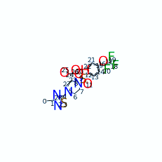 Cc1nsc(N2CCN(S(=O)(=O)c3ccc(OC(F)(F)F)cc3)[C@@H](C(=O)O)C2)n1